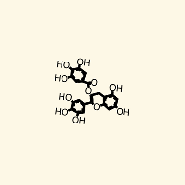 O=C(OC1=C(c2cc(O)c(O)c(O)c2)Oc2cc(O)cc(O)c2C1)c1cc(O)c(O)c(O)c1